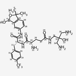 CC1(C)OB(O)c2cc(NC(=O)[C@@H](Cc3ccc(C(F)(F)F)cc3)NC(=O)[C@@H](N)CCC(=O)NCC(O)(CN)CN)ccc21